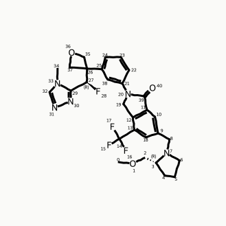 COC[C@H]1CCCN1Cc1cc2c(c(C(F)(F)F)c1)CN(c1cccc(C3([C@@H](F)c4nncn4C)COC3)c1)C2=O